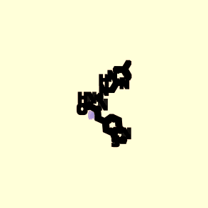 Cc1cnc(CNC2=N/C(=C\c3ccc4ncsc4c3)C(=O)N2)nc1